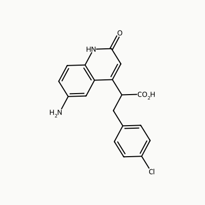 Nc1ccc2[nH]c(=O)cc(C(Cc3ccc(Cl)cc3)C(=O)O)c2c1